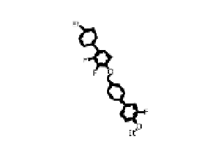 CCOc1ccc(C2CCC(COc3ccc(C4CCC(CC)CC4)c(F)c3F)CC2)cc1F